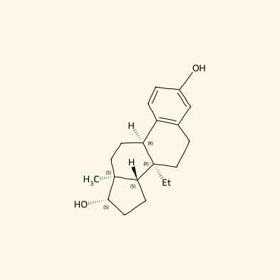 CC[C@@]12CCc3cc(O)ccc3[C@@H]1CC[C@@]1(C)[C@H]2CC[C@@H]1O